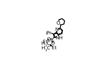 CCOB(OC(C)(C)CC)c1[nH]c2ccc(C3CCCCO3)nc2c1C(C)C